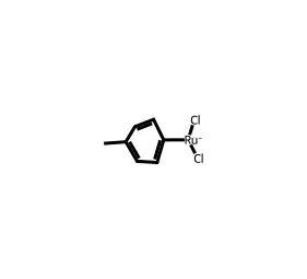 Cc1cc[c]([Ru-]([Cl])[Cl])cc1